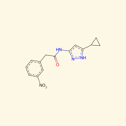 O=C(Cc1cccc([N+](=O)[O-])c1)Nc1cc(C2CC2)[nH]n1